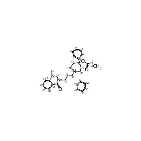 CCC(=O)OC1(c2ccccc2)CCN(CCCN2CNc3ccccc3C2=O)CC1.c1ccccc1